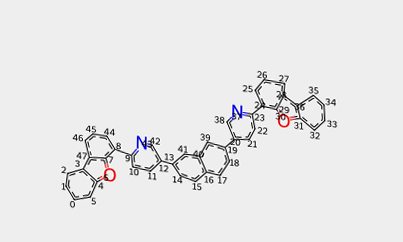 c1ccc2c(c1)oc1c(-c3ccc(-c4ccc5ccc(-c6ccc(-c7cccc8c7oc7ccccc78)nc6)cc5c4)cn3)cccc12